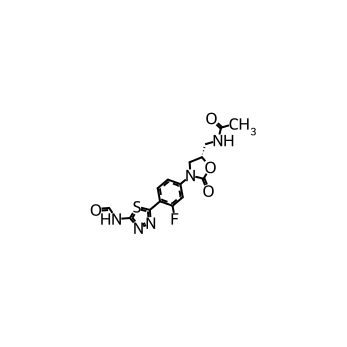 CC(=O)NC[C@H]1CN(c2ccc(-c3nnc(NC=O)s3)c(F)c2)C(=O)O1